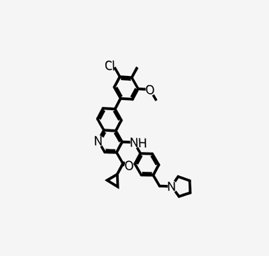 COc1cc(-c2ccc3ncc(C(=O)C4CC4)c(Nc4ccc(CN5CCCC5)cc4)c3c2)cc(Cl)c1C